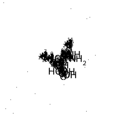 CCN(CC)CC.CCN(CC)CC.CCN(CC)CC.CN1CN([C@@H]2O[C@H](COP(=O)(O)OP(=O)(O)O)[C@](O)(OS(C)(=O)=O)[C@H]2O)c2nc(N)[nH]c(=O)c21